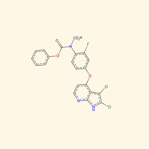 O=C(O)N(C(=O)Oc1ccccc1)c1ccc(Oc2ccnc3[nH]c(Cl)c(Cl)c23)cc1F